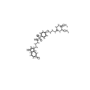 CC1CN(CCCOc2ccc(S(=O)(=O)NCCCc3c[nH]c4ccc(Cl)cc34)cc2)CCN1C